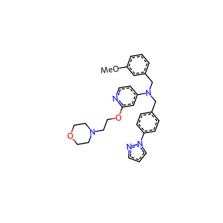 COc1cccc(CN(Cc2ccc(-n3cccn3)cc2)c2ccnc(OCCN3CCOCC3)c2)c1